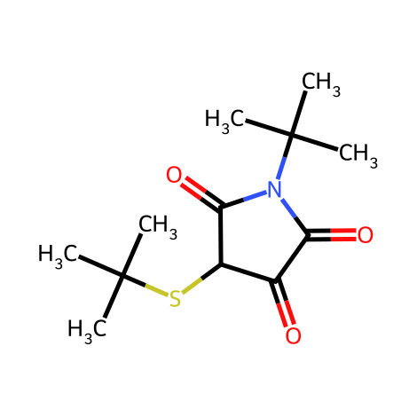 CC(C)(C)SC1C(=O)C(=O)N(C(C)(C)C)C1=O